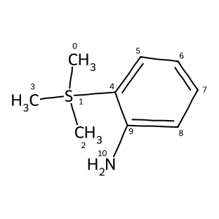 CS(C)(C)c1ccccc1N